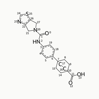 O=C(Nc1ccc(C23CCC(C(=O)O)(CC2)CC3)cc1)N1Cc2ncsc2C1